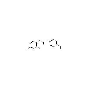 O=C(Cc1ccc(Cl)cc1Cl)Oc1ccc(CO)cc1